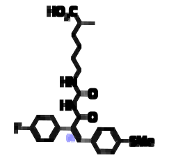 CSc1ccc(/C=C(\C(=O)NC(=O)NCCCCC(C)C(=O)O)c2ccc(F)cc2)cc1